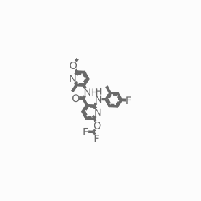 COc1ccc(NC(=O)c2ccc(OC(F)F)nc2Nc2ccc(F)cc2C)c(C)n1